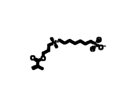 C=C(C)C(=O)OCCC[N+](C)(C)CCCCCCCS(=O)(=O)[O-]